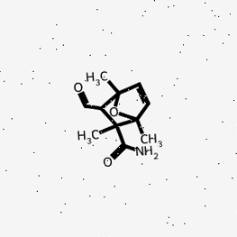 CC12C=CC(C)(O1)C(C)(C(N)=O)C2C=O